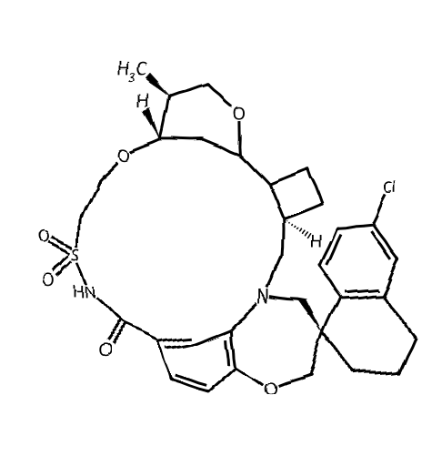 C[C@H]1COC2C[C@@H]1OCCS(=O)(=O)NC(=O)c1ccc3c(c1)N(C[C@@H]1CCC21)C[C@@]1(CCCc2cc(Cl)ccc21)CO3